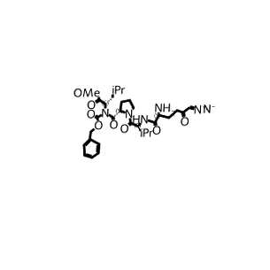 COC(=O)[C@H](CC(C)C)N(C(=O)OCc1ccccc1)C(=O)[C@@H]1CCCN1C(=O)[C@@H](NC(=O)[C@@H](N)CCC(=O)C=[N+]=[N-])C(C)C